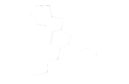 CCOC(=O)c1cc2c(cc1OCC)NC1CCC=CC21